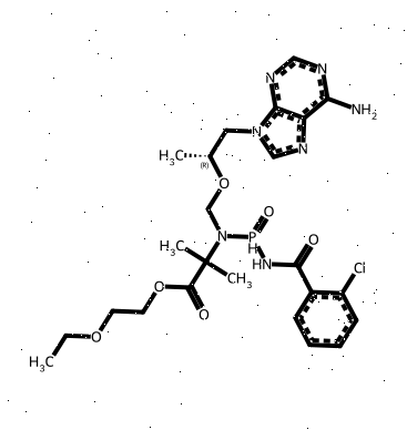 CCOCCOC(=O)C(C)(C)N(CO[C@H](C)Cn1cnc2c(N)ncnc21)[PH](=O)NC(=O)c1ccccc1Cl